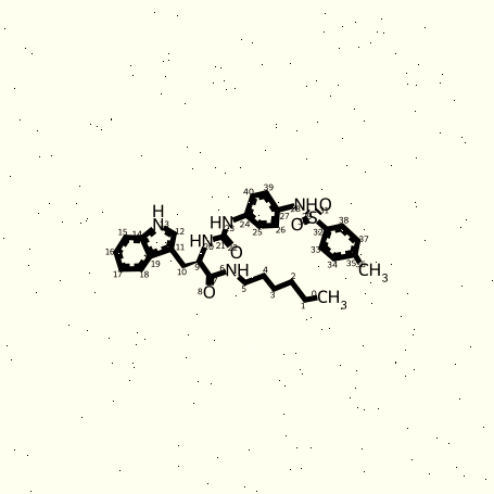 CCCCCCNC(=O)[C@@H](Cc1c[nH]c2ccccc12)NC(=O)Nc1ccc(NS(=O)(=O)c2ccc(C)cc2)cc1